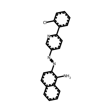 Nc1c(N=Nc2ccc(-c3ccccc3Cl)nc2)ccc2ccccc12